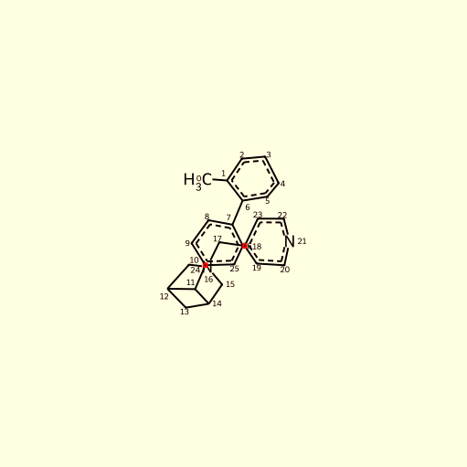 Cc1ccccc1-c1ccc(C2C3CC2CN(Cc2ccncc2)C3)cc1